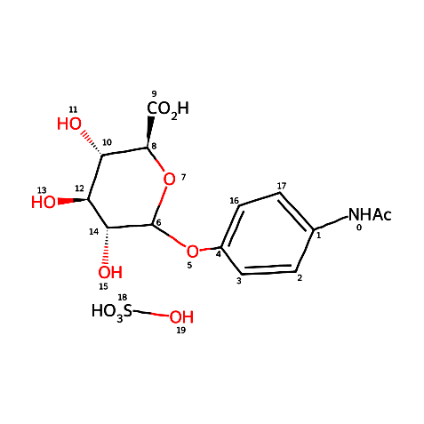 CC(=O)Nc1ccc(OC2O[C@H](C(=O)O)[C@@H](O)[C@H](O)[C@H]2O)cc1.O=S(=O)(O)O